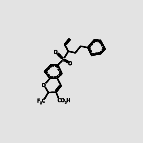 C=CC(CCc1ccccc1)S(=O)(=O)c1ccc2c(c1)C=C(C(=O)O)C(C(F)(F)F)O2